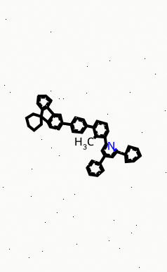 Cc1c(-c2ccc(-c3ccc4c(c3)-c3ccccc3C43CCCCC3)cc2)cccc1-c1cc(-c2ccccc2)cc(-c2ccccc2)n1